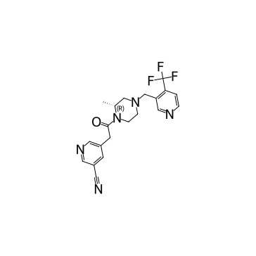 C[C@@H]1CN(Cc2cnccc2C(F)(F)F)CCN1C(=O)Cc1cncc(C#N)c1